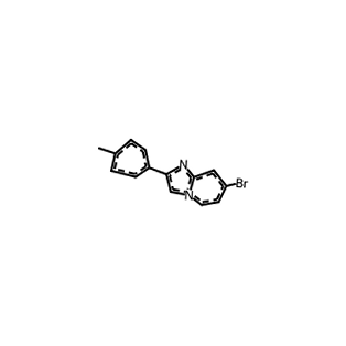 Cc1ccc(-c2cn3ccc(Br)cc3n2)cc1